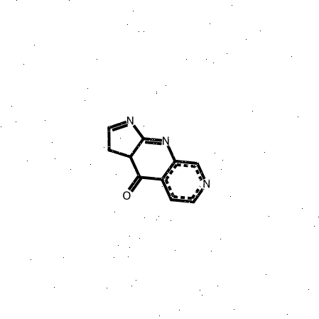 O=C1c2ccncc2N=C2N=CCC12